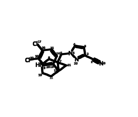 N#Cc1ccn(CC23CNCCC2(c2ccc(Cl)c(Cl)c2)C3)n1